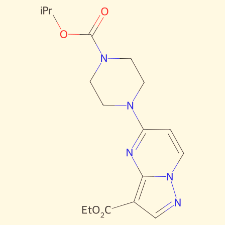 CCOC(=O)c1cnn2ccc(N3CCN(C(=O)OC(C)C)CC3)nc12